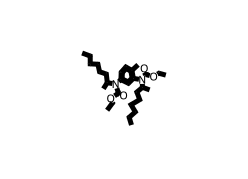 CCCCCCC(C)N(C(=O)OCC)c1ccc(C)c(N(C(=O)OCC)C(C)CCCCCC)c1